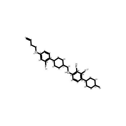 C=CCCOc1ccc(C2CCC(COc3ccc(C4CCC(C)CC4)c(F)c3F)CC2)c(F)c1